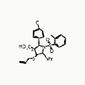 C=CCSC1C(CCC)N(S(=O)(=O)c2ccccc2C)C(c2ccc(Cl)cc2)[C@@H]1C(=O)O